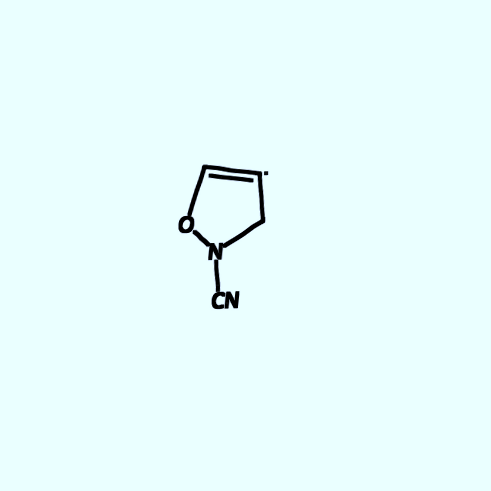 N#CN1C[C]=CO1